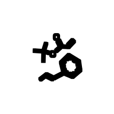 C=CC(=O)OC(C)(C)C.CC=Cc1ccccc1